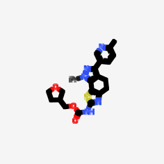 Cc1ccc(-c2nn(C(C)C)c3c2CCc2nc(NC(=O)OCC4CCOC4)sc2-3)cn1